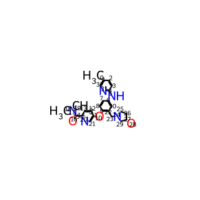 Cc1ccc(Nc2ccc(Oc3ccc(C(=O)N(C)C)nc3)c(CN3CCC(=O)C3)c2)nc1